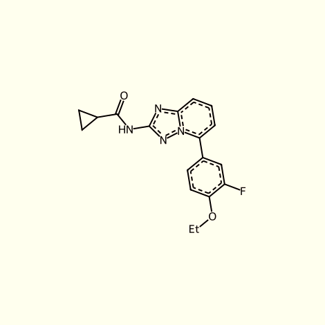 CCOc1ccc(-c2cccc3nc(NC(=O)C4CC4)nn23)cc1F